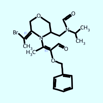 C/C(Br)=C1/COCC(CN(C=O)C(C)C)N1/C(C)=C(\C=O)OCc1ccccc1